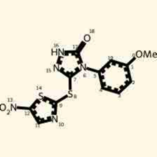 COc1cccc(-n2c(Sc3ncc([N+](=O)[O-])s3)n[nH]c2=O)c1